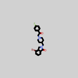 O=C(CN1CCC(CN2Cc3c(Br)cccc3C2=O)CC1)c1ccc(F)cc1